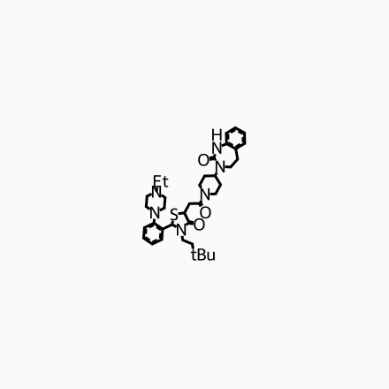 CCN1CCN(c2ccccc2C2SC(CC(=O)N3CCC(N4CCc5ccccc5NC4=O)CC3)C(=O)N2CCC(C)(C)C)CC1